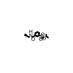 C#CCNC(=O)c1cccc(S(=O)(=O)OC(C)C)c1